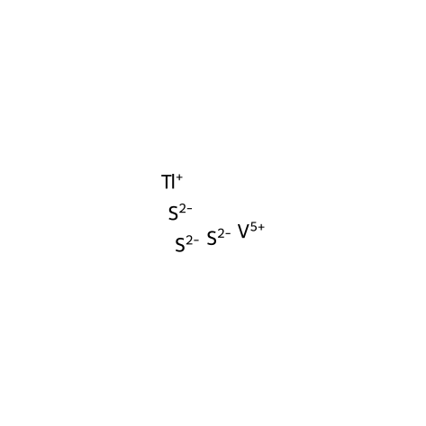 [S-2].[S-2].[S-2].[Tl+].[V+5]